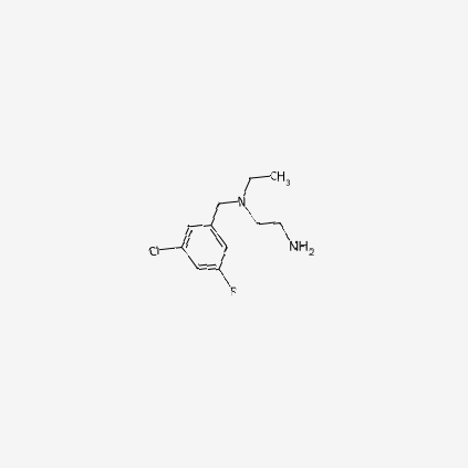 CCN(CCN)Cc1cc(F)cc(Cl)c1